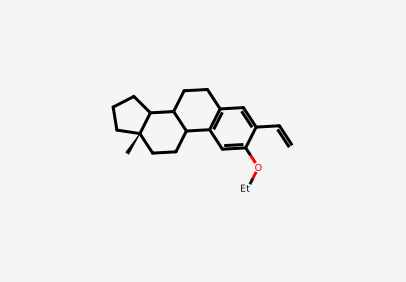 C=Cc1cc2c(cc1OCC)C1CC[C@]3(C)CCCC3C1CC2